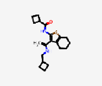 C=C(NCC1CCC1)c1c(NC(=O)C2CCC2)sc2c1CCCC2